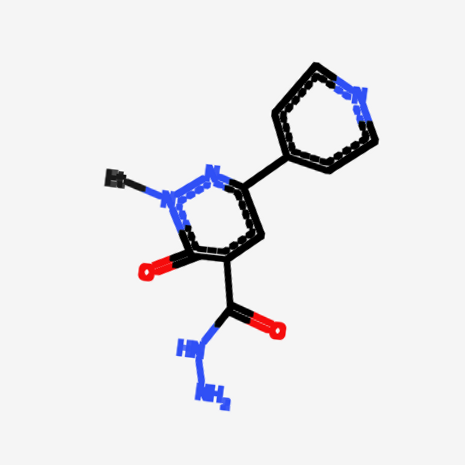 CCn1nc(-c2ccncc2)cc(C(=O)NN)c1=O